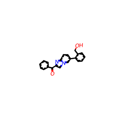 O=C(c1ccccc1)c1cn2cc(-c3ccccc3CO)ccc2n1